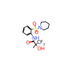 CC(O)(C(=O)Nc1ccccc1S(=O)(=O)N1CCCCC1)C(F)(F)F